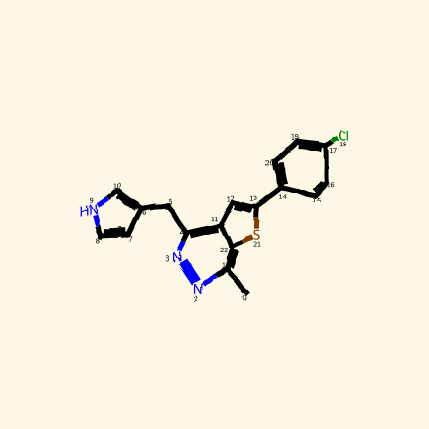 Cc1nnc(Cc2cc[nH]c2)c2cc(-c3ccc(Cl)cc3)sc12